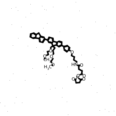 COCCOCCCC1(COCCOC)c2cc(-c3ccc(OCCCCNC(=O)CCC(=O)ON4C(=O)CCC4=O)cc3)ccc2-c2ccc(-c3ccc4c(c3)Cc3ccccc3-4)cc21